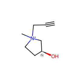 C#CC[N+]1(C)CC[C@H](O)C1